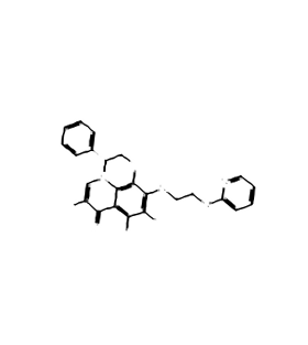 CCOC(=O)c1cn2c3c(c(NCCNc4ccccn4)c(F)c(F)c3c1=O)OC[C@@H]2c1ccccc1